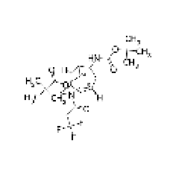 CC(C)(C)OC(=O)NC1C[C@@H]2CC3CC1[C@H](OC(=O)C(C)(C)C)C2N(C(=O)CC(F)(F)F)C3